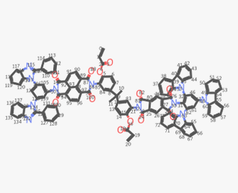 C=CC(=O)Oc1ccc(C(C)(C)c2ccc(OC(=O)C=C)c(-n3c(=O)c4cc5c(=O)n(-c6c(-n7c8ccccc8c8ccccc87)cc(-n7c8ccccc8c8ccccc87)cc6-n6c7ccccc7c7ccccc76)c(=O)c5cc4c3=O)c2)cc1N1C(=O)c2ccc3c4c(ccc(c24)C1=O)C(=O)N(c1cc(-n2c(-c4ccccc4)nc4ccccc42)cc(-n2c(-c4ccccc4)nc4ccccc42)c1)C3=O